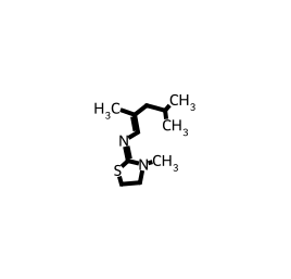 C/C(=C\N=C1\SCCN1C)CC(C)C